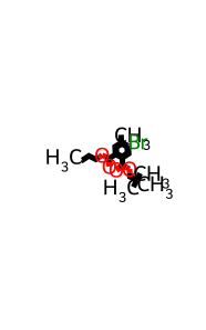 CCCCOC(=O)c1cc(C)c(Br)cc1C(=O)OCC(C)(C)C